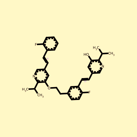 CC(C)c1ncc(/C=C/c2cc(CCOc3cc(/C=C/c4ccccc4F)cnc3C(C)C)ccc2F)cc1O